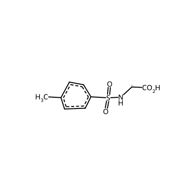 Cc1ccc(S(=O)(=O)N[CH]C(=O)O)cc1